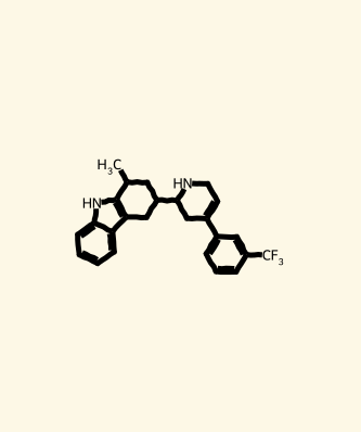 CC1CC(C2CC(c3cccc(C(F)(F)F)c3)=CCN2)Cc2c1[nH]c1ccccc21